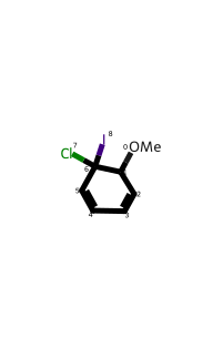 COC1C=CC=CC1(Cl)I